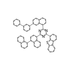 c1ccc(-c2cccc(-c3ccc4cccc(-c5nc(-c6ccc(-c7cccc8ccccc78)c7ccccc67)nc(-c6cccc7c6sc6ccccc67)n5)c4c3)c2)cc1